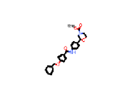 CC(C)(C)OC(=O)N1CCOC(c2ccc(NC(=O)c3ccc(OCc4ccccc4)cc3)cc2)C1